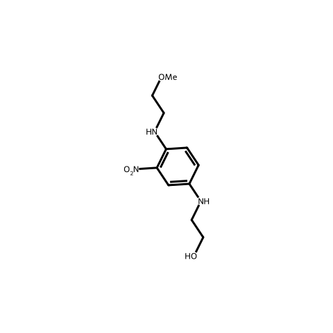 COCCNc1ccc(NCCO)cc1[N+](=O)[O-]